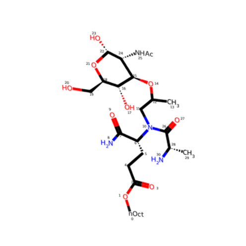 CCCCCCCCOC(=O)CC[C@H](C(N)=O)N(CC(C)O[C@H]1[C@H](O)[C@@H](CO)O[C@H](O)[C@@H]1NC(C)=O)C(=O)[C@H](C)N